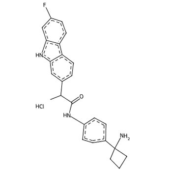 CC(C(=O)Nc1ccc(C2(N)CCC2)cc1)c1ccc2c(c1)[nH]c1cc(F)ccc12.Cl